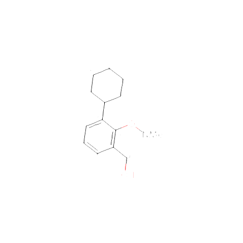 CNOc1c(CO)cccc1C1CCCCC1